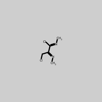 CN=C(Cl)C(CCl)=NC